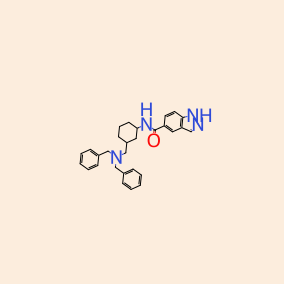 O=C(NC1CCCC(CN(Cc2ccccc2)Cc2ccccc2)C1)c1ccc2[nH]ncc2c1